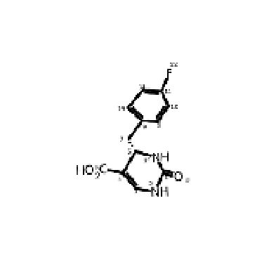 O=C1NC=C(C(=O)O)[C@H](Cc2ccc(F)cc2)N1